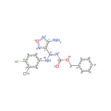 Nc1nonc1/C(=N/C(=O)OCc1ccccc1)Nc1ccc(F)c(Cl)c1